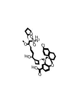 CO[C@H](C/C=C/[C@H](O)[C@@H]1CC[C@H]1CN1C[C@@]2(CCCc3cc(Cl)ccc32)COc2ccc(C(=O)O)cc21)[C@H](C[C@H]1CCCO1)S(N)(=O)=O